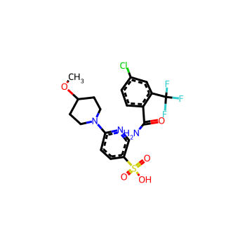 COC1CCN(c2ccc(S(=O)(=O)O)cn2)CC1.NC(=O)c1ccc(Cl)cc1C(F)(F)F